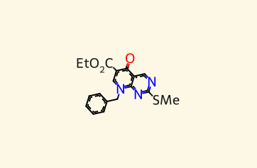 CCOC(=O)c1cn(Cc2ccccc2)c2nc(SC)ncc2c1=O